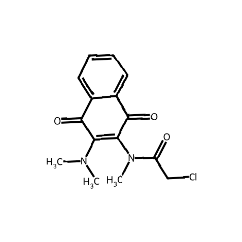 CN(C)C1=C(N(C)C(=O)CCl)C(=O)c2ccccc2C1=O